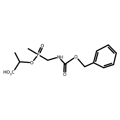 CC(OP(C)(=O)CNC(=O)OCc1ccccc1)C(=O)O